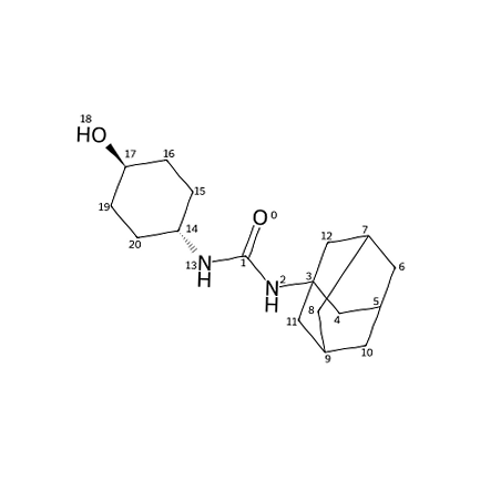 O=C(NC12CC3CC(CC(C3)C1)C2)N[C@H]1CC[C@H](O)CC1